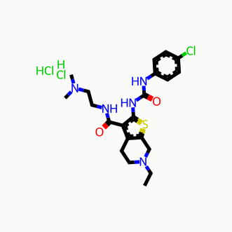 CCN1CCc2c(sc(NC(=O)Nc3ccc(Cl)cc3)c2C(=O)NCCN(C)C)C1.Cl.Cl